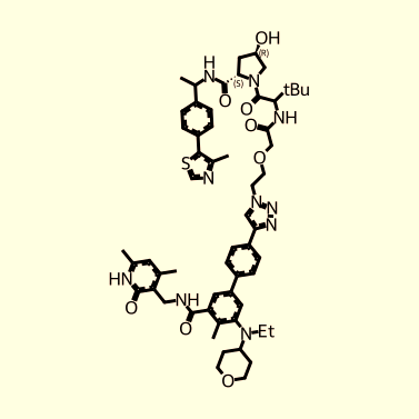 CCN(c1cc(-c2ccc(-c3cn(CCOCC(=O)NC(C(=O)N4C[C@H](O)C[C@H]4C(=O)NC(C)c4ccc(-c5scnc5C)cc4)C(C)(C)C)nn3)cc2)cc(C(=O)NCc2c(C)cc(C)[nH]c2=O)c1C)C1CCOCC1